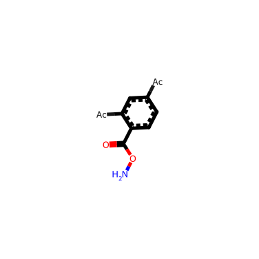 CC(=O)c1ccc(C(=O)ON)c(C(C)=O)c1